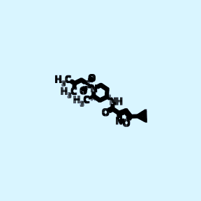 CC(C)CS(=O)(=O)N1CC[C@H](NC(=O)c2cc(C3CC3)on2)C[C@H]1C